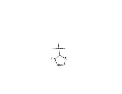 CC(C)(C)[C]1NC=CS1